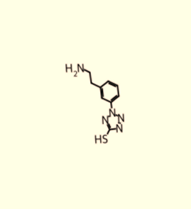 NCCc1cccc(-n2nnc(S)n2)c1